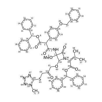 COC1(NC(=O)C(C(=O)OC(c2ccccc2)c2ccccc2)c2ccc(OCc3ccccc3)cc2)C(=O)N(C(C(=O)OC(c2ccccc2)c2ccccc2)=C(C)C)C1OCC(=O)CSc1nnnn1C